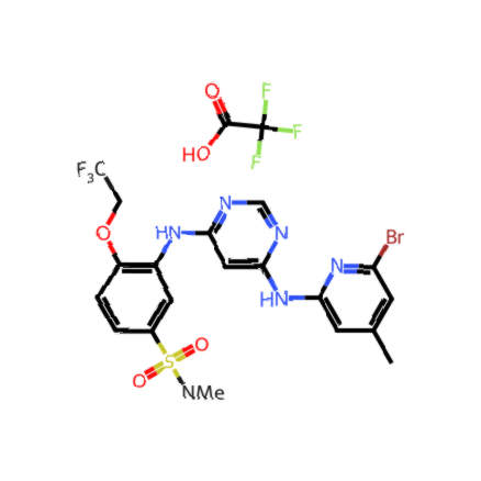 CNS(=O)(=O)c1ccc(OCC(F)(F)F)c(Nc2cc(Nc3cc(C)cc(Br)n3)ncn2)c1.O=C(O)C(F)(F)F